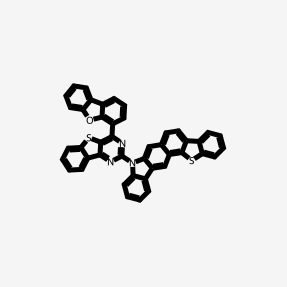 c1ccc2c(c1)oc1c(-c3nc(-n4c5ccccc5c5cc6c(ccc7c8ccccc8sc67)cc54)nc4c3sc3ccccc34)cccc12